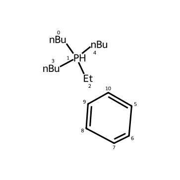 CCCC[PH](CC)(CCCC)CCCC.c1ccccc1